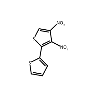 O=[N+]([O-])c1csc(-c2cccs2)c1[N+](=O)[O-]